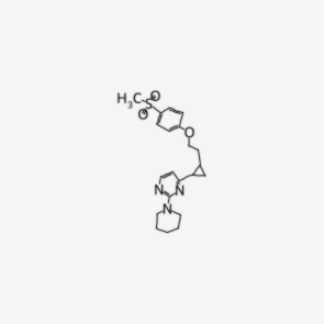 CS(=O)(=O)c1ccc(OCCC2CC2c2ccnc(N3CCCCC3)n2)cc1